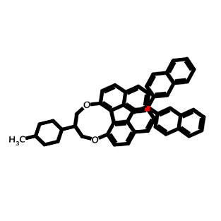 CC1CCC(C2COc3ccc4ccc(-c5ccc6ccccc6c5)cc4c3-c3c(ccc4ccc(-c5ccc6ccccc6c5)cc34)OC2)CC1